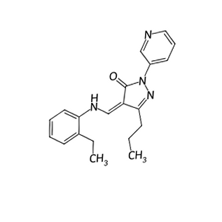 CCCC1=NN(c2cccnc2)C(=O)C1=CNc1ccccc1CC